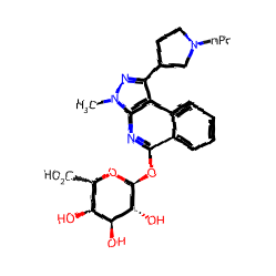 CCCN1CCC(c2nn(C)c3nc(O[C@@H]4O[C@H](C(=O)O)[C@H](O)[C@H](O)[C@H]4O)c4ccccc4c23)C1